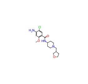 COc1cc(N)c(Cl)cc1C(=O)NC1CCN(CC2CCOC2)CC1